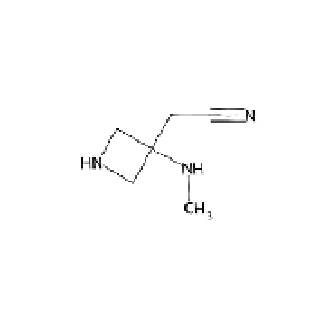 CNC1(CC#N)CNC1